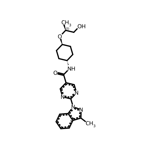 Cc1nn(-c2ncc(C(=O)N[C@H]3CC[C@H](O[C@@H](C)CO)CC3)cn2)c2ccccc12